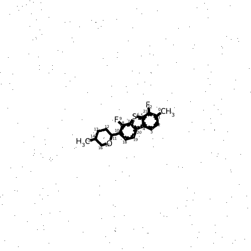 Cc1ccc2c(sc3c(F)c(C4CCC(C)CO4)ccc32)c1F